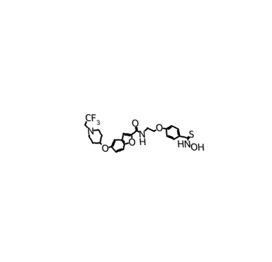 O=C(NCCOc1ccc(C(=S)NO)cc1)c1cc2cc(OC3CCN(CC(F)(F)F)CC3)ccc2o1